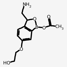 CC(=O)OB1OC(CN)c2ccc(OCCO)cc21